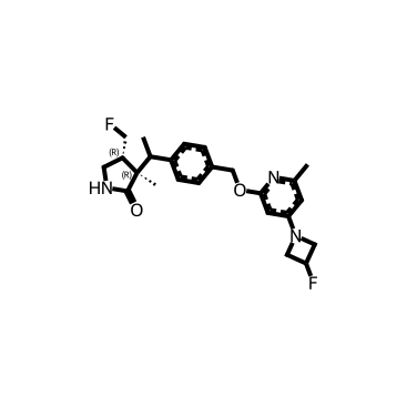 Cc1cc(N2CC(F)C2)cc(OCc2ccc(C(C)[C@@]3(C)C(=O)NC[C@@H]3CF)cc2)n1